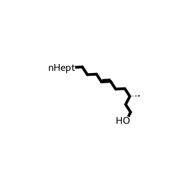 CCCCCCCCCCC=CCC[C@H](C)CCO